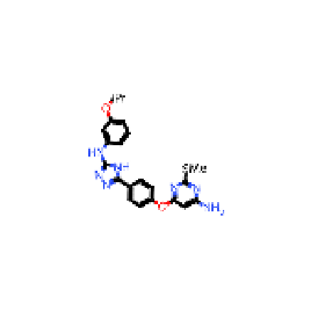 CSc1nc(N)cc(Oc2ccc(-c3nnc(Nc4cccc(OC(C)C)c4)[nH]3)cc2)n1